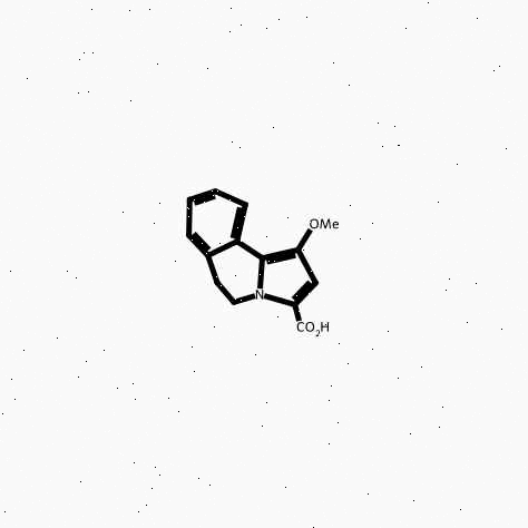 COc1cc(C(=O)O)n2c1-c1ccccc1CC2